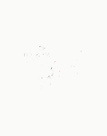 CCCCOC(=O)C(C)(CC(C)(CC(C)(C)C(=O)OCCC)C(=O)OCCCS(=O)(=O)O)CC(C)(CC(C)(CC)C(=O)OCCC)C(=O)OCCCS(=O)(=O)O